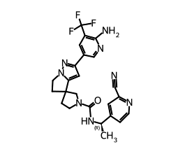 C[C@@H](NC(=O)N1CCC2(CCn3nc(-c4cnc(N)c(C(F)(F)F)c4)cc32)C1)c1ccnc(C#N)c1